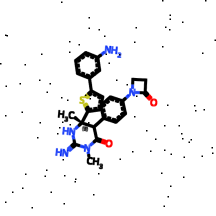 CN1C(=N)N[C@](C)(c2ccc(-c3cccc(N)c3)s2)C(c2ccc(N3CCC3=O)cc2)C1=O